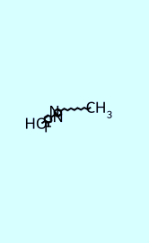 CCCCCCCCCc1cnc(-c2ccc(O)c(F)c2)nc1